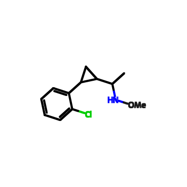 CONC(C)C1CC1c1ccccc1Cl